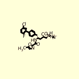 Cc1cnc(C(=O)N[C@H](Cc2ccc(-c3cc(Cl)ccc3F)cc2)C[C@@H](CN=[N+]=[N-])C(=O)O)o1